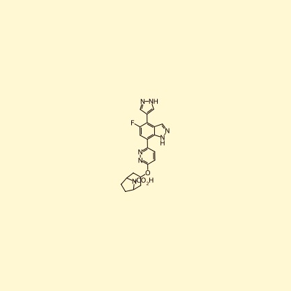 O=C(O)N1C2CCC1CC(Oc1ccc(-c3cc(F)c(-c4cn[nH]c4)c4cn[nH]c34)nn1)C2